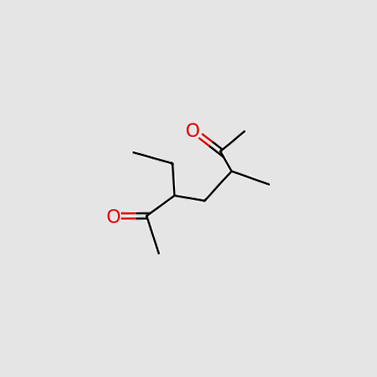 CCC(CC(C)C(C)=O)C(C)=O